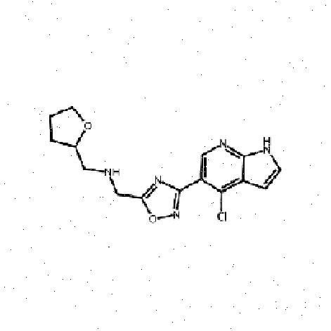 Clc1c(-c2noc(CNCC3CCCO3)n2)cnc2[nH]ccc12